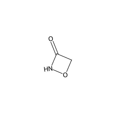 O=C1CON1